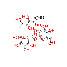 C[C@H](O)[C@H](O)[C@@H](O)[C@@H](O)C=O.OC[C@H]1O[C@H](OC[C@H]2O[C@@H](O)[C@H](O)[C@@H](O)[C@@H]2O)[C@H](O)[C@@H](O)[C@H]1O